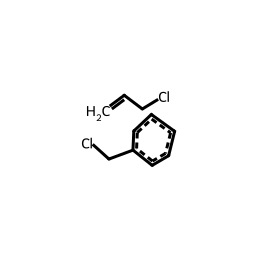 C=CCCl.ClCc1ccccc1